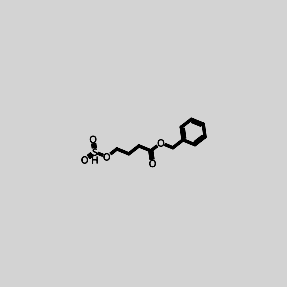 O=C(CCCO[SH](=O)=O)OCc1ccccc1